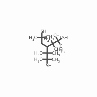 CC(C)(S)CC(C(C)(C)C(C)(C)S)C(C)(C)C(C)(C)S